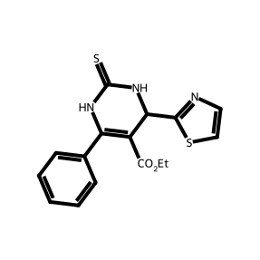 CCOC(=O)C1=C(c2ccccc2)NC(=S)NC1c1nccs1